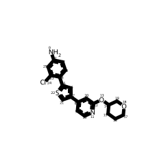 Nc1ccc(-c2cc(-c3ccnc(OC4CCCOC4)c3)cs2)c(Cl)c1